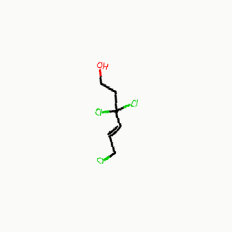 OCCC(Cl)(Cl)C=CCCl